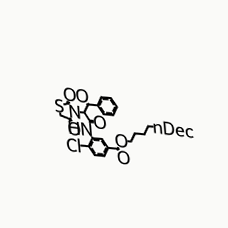 CCCCCCCCCCCCCCOC(=O)c1ccc(Cl)c(NC(=O)C(C(=O)c2ccccc2)N2C(=O)CSC2=O)c1